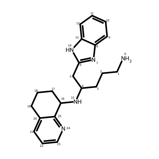 NCCCC(Cc1nc2ccccc2[nH]1)NC1CCCc2cccnc21